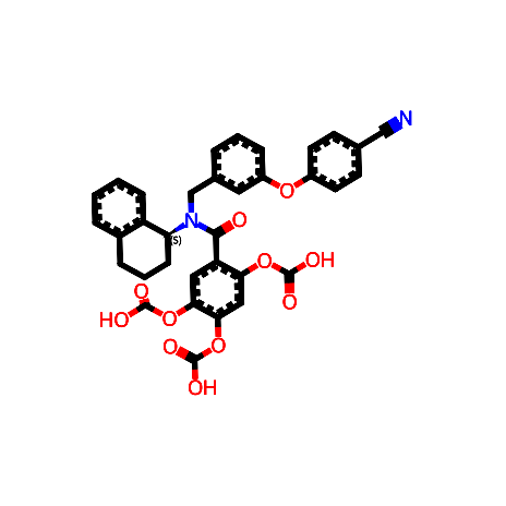 N#Cc1ccc(Oc2cccc(CN(C(=O)c3cc(OC(=O)O)c(OC(=O)O)cc3OC(=O)O)[C@H]3CCCc4ccccc43)c2)cc1